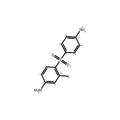 CNc1ccc(S(=O)(=O)c2ccc(N)cc2)c(C)c1